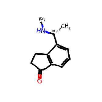 CC(C)N[C@H](C)c1cccc2c1CCC2=O